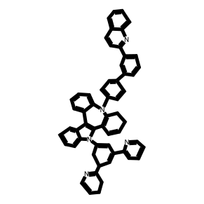 C1=CN=C(C2C=C(c3ccccn3)C=C(n3c4c(c5ccccc53)-c3ccccc3N(c3ccc(-c5cccc(-c6ccc7ccccc7n6)c5)cc3)C3=C4C=CCC3)C2)CC1